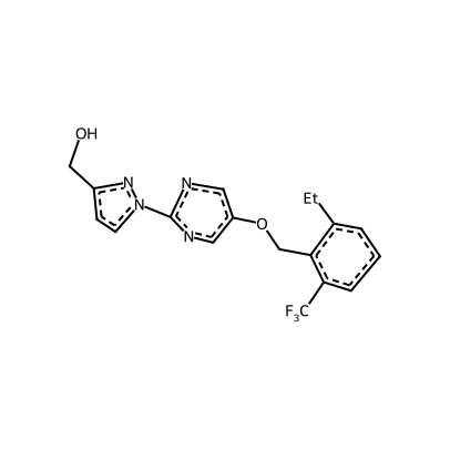 CCc1cccc(C(F)(F)F)c1COc1cnc(-n2ccc(CO)n2)nc1